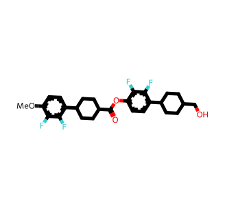 COc1ccc(C2CCC(C(=O)Oc3ccc(C4CCC(CO)CC4)c(F)c3F)CC2)c(F)c1F